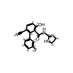 N#Cc1ccc(O)c(C(=O)NC2=NCCN2)c1-c1cccc(F)c1